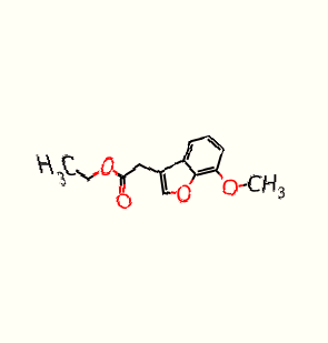 CCOC(=O)Cc1coc2c(OC)cccc12